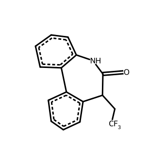 O=C1Nc2ccccc2-c2ccccc2C1CC(F)(F)F